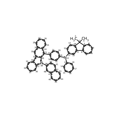 CC1(C)c2ccccc2-c2cc(N(c3ccccc3)c3ccc(-c4c5ccccc5cc5c6ccccc6n(-c6ccc7ccccc7c6)c45)cc3)ccc21